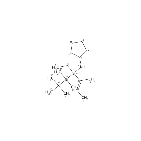 C/C=C(\C)[Si](CC)(NC1CCCC1)[Si](C)(C)C(C)(C)C